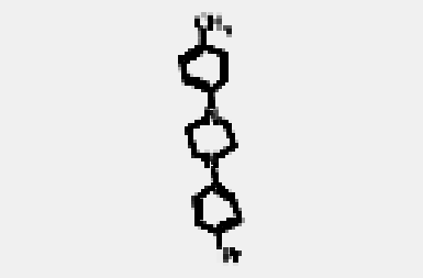 Cc1ccc(N2CCN(c3ccc(C(C)C)cc3)CC2)cc1